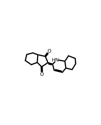 O=C1C(=C2C=CC3CCCCC3N2)C(=O)C2CCCCC12